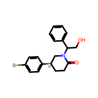 O=C1CC[C@@H](c2ccc(Br)cc2)CN1C(CO)c1ccccc1